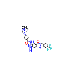 CN1CCN(c2ccc(C(=O)Nc3n[nH]c4ccc(C(=O)NCc5ccc(C(F)(F)F)cc5)cc34)cc2)CC1